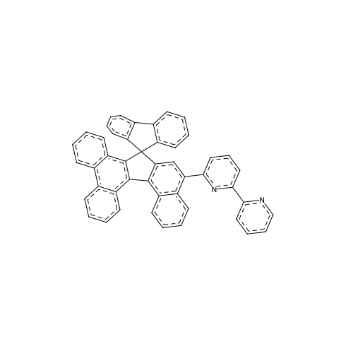 c1ccc(-c2cccc(-c3cc4c(c5ccccc35)-c3c(c5ccccc5c5ccccc35)C43c4ccccc4-c4ccccc43)n2)nc1